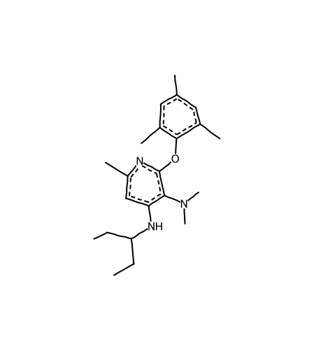 CCC(CC)Nc1cc(C)nc(Oc2c(C)cc(C)cc2C)c1N(C)C